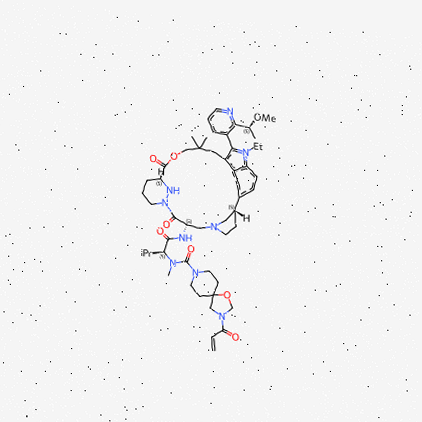 C=CC(=O)N1COC2(CCN(C(=O)N(C)[C@H](C(=O)N[C@H]3CN4CC[C@H](C4)c4ccc5c(c4)c(c(-c4cccnc4[C@H](C)OC)n5CC)CC(C)(C)COC(=O)[C@@H]4CCCN(N4)C3=O)C(C)C)CC2)C1